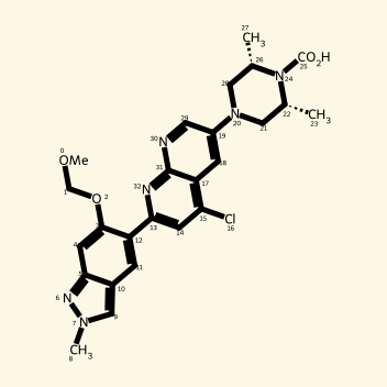 COCOc1cc2nn(C)cc2cc1-c1cc(Cl)c2cc(N3C[C@@H](C)N(C(=O)O)[C@@H](C)C3)cnc2n1